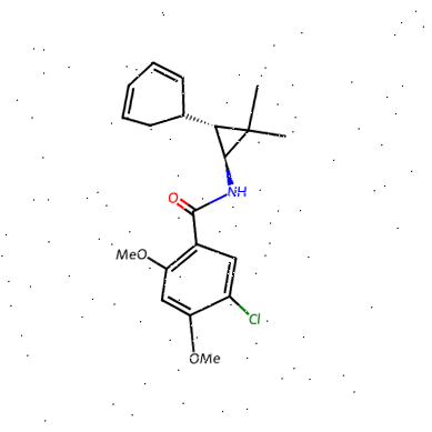 COc1cc(OC)c(C(=O)N[C@H]2[C@H](C3C=CC=CC3)C2(C)C)cc1Cl